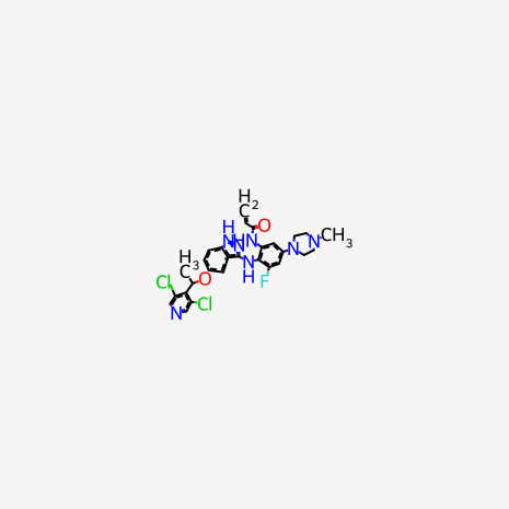 C=CC(=O)Nc1cc(N2CCN(C)CC2)cc(F)c1Nc1n[nH]c2ccc(OC(C)c3c(Cl)cncc3Cl)cc12